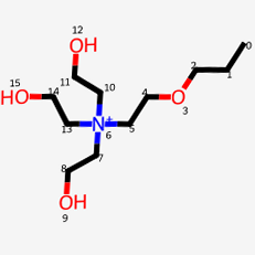 CCCOCC[N+](CCO)(CCO)CCO